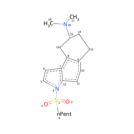 CCCCCS(=O)(=O)n1ccc2c3c(ccc21)CCC(N(C)C)C3